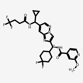 COc1cc(C(=O)N[C@H](c2cn3ncc(C(NC(=O)CCC(F)(F)F)C4CC4)cc3n2)C2CCC(F)(F)CC2)ccn1